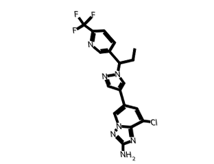 CCC(c1ccc(C(F)(F)F)nc1)n1cc(-c2cc(Cl)c3nc(N)nn3c2)cn1